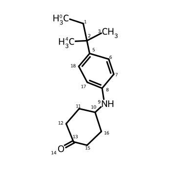 CCC(C)(C)c1ccc(NC2CCC(=O)CC2)cc1